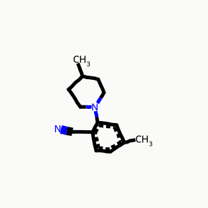 Cc1ccc(C#N)c(N2CCC(C)CC2)c1